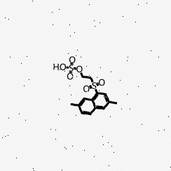 Cc1cc(S(=O)(=O)CCOS(=O)(=O)O)c2cc(C)ccc2c1